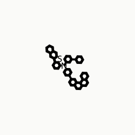 c1ccc(-c2cccc(N(c3ccc(-c4ccc5ccc6ccc7ccccc7c6c5c4)cc3)c3cccc4c3sc3cc5ccccc5cc34)c2)cc1